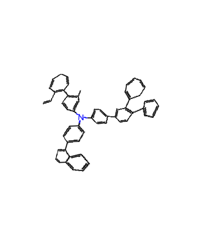 C=CC1=C(c2ccc(N(c3ccc(-c4ccc(-c5ccccc5)c(C5=CC=CC=CC5)c4)cc3)c3ccc(-c4cccc5ccccc45)cc3)cc2C)C=CCC=C1